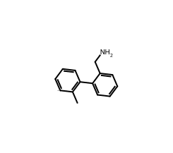 Cc1[c]cccc1-c1ccccc1CN